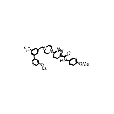 CCOc1cncc(-c2cc(CN3CCN(c4ccc(C(=O)Nc5ccc(OC)cc5)nn4)CC3)cc(C(F)(F)F)c2)c1